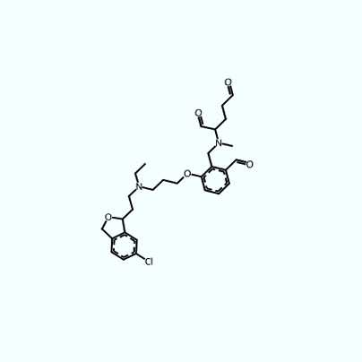 CCN(CCCOc1cccc(C=O)c1CN(C)C(C=O)CCC=O)CCC1OCc2ccc(Cl)cc21